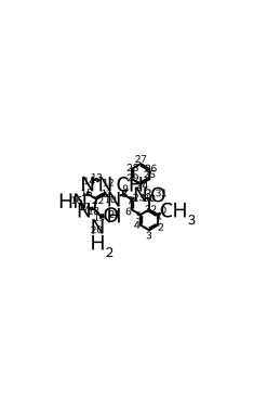 Cc1cccc2cc([C@H](C)Nc3ncnc4[nH]nc(C(N)=O)c34)n(-c3ccccc3)c(=O)c12